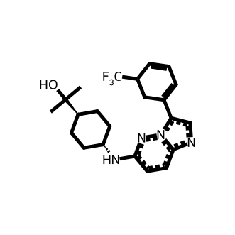 CC(C)(O)[C@H]1CC[C@H](Nc2ccc3ncc(C4=CC=CC(C(F)(F)F)C4)n3n2)CC1